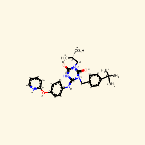 BC(B)(B)c1ccc(Cn2c(=O)n(C[C@H](C)C(=O)O)c(=O)[nH]/c2=N\c2ccc(Oc3ccccn3)cc2)cc1